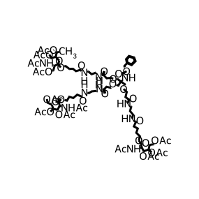 CC(=O)NC1C(OCCCCC(=O)NCCCNC(=O)CCOCC(COCCC(=O)NCCCNC(=O)CCCCOC2OC(COC(C)=O)C(OC(C)=O)C(OC(C)=O)C2NC(C)=O)(COCCC(=O)NCCCNC(=O)CCCCOC(OC(COC(C)=O)[C@@H](C)OC(C)=O)[C@H](COC(C)=O)NC(C)=O)NC(=O)OCc2ccccc2)OC(COC(C)=O)C(OC(C)=O)C1OC(C)=O